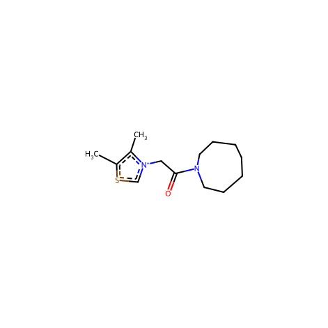 Cc1sc[n+](CC(=O)N2CCCCCCC2)c1C